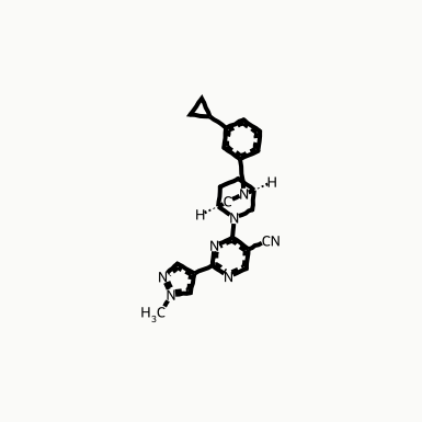 Cn1cc(-c2ncc(C#N)c(N3C[C@@H]4CC[C@H]3CN4c3cccc(C4CC4)c3)n2)cn1